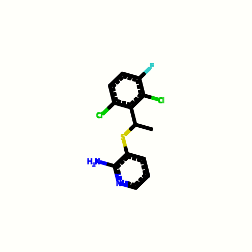 CC(Sc1cccnc1N)c1c(Cl)ccc(F)c1Cl